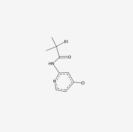 CCC(C)(C)C(=O)Nc1cc(Cl)ccn1